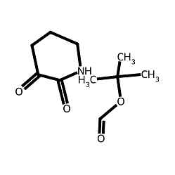 CC(C)(C)OC=O.O=C1CCCNC1=O